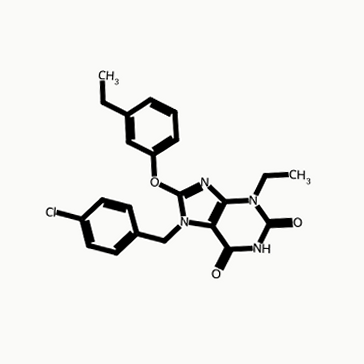 CCc1cccc(Oc2nc3c(c(=O)[nH]c(=O)n3CC)n2Cc2ccc(Cl)cc2)c1